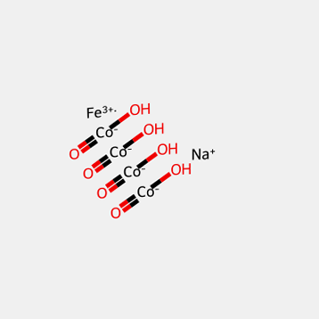 [Fe+3].[Na+].[O]=[Co-][OH].[O]=[Co-][OH].[O]=[Co-][OH].[O]=[Co-][OH]